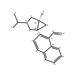 CC(C)N1C[C@H]2C[C@@]2(c2ccc3ccccc3c2C=O)C1